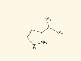 CC(C)C1CCNN1